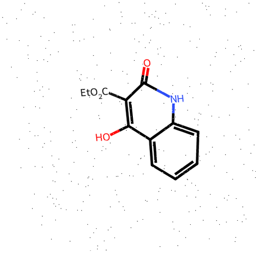 CCOC(=O)c1c(O)c2ccccc2[nH]c1=O